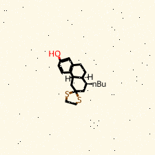 CCCC[C@H]1CC2(C[C@@H]3c4ccc(O)cc4CC[C@@H]13)SCCS2